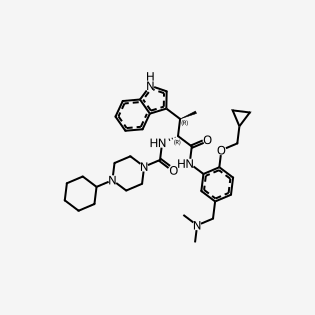 C[C@H](c1c[nH]c2ccccc12)[C@@H](NC(=O)N1CCN(C2CCCCC2)CC1)C(=O)Nc1cc(CN(C)C)ccc1OCC1CC1